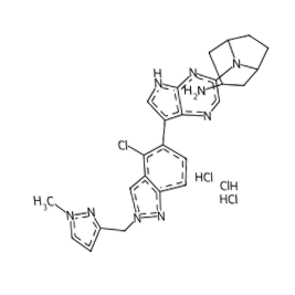 Cl.Cl.Cl.Cn1ccc(Cn2cc3c(Cl)c(-c4c[nH]c5nc(N6C7CCC6CC(N)C7)cnc45)ccc3n2)n1